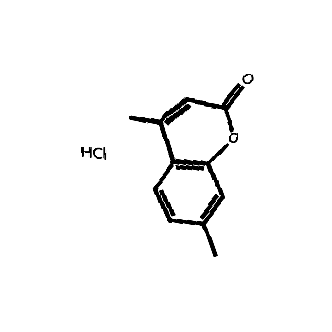 Cc1ccc2c(C)cc(=O)oc2c1.Cl